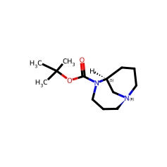 CC(C)(C)OC(=O)N1CCC[N@]2CCC[C@H]1C2